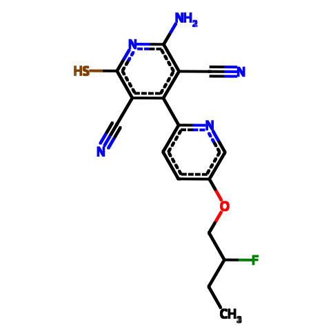 CCC(F)COc1ccc(-c2c(C#N)c(N)nc(S)c2C#N)nc1